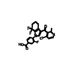 Cc1nccc(Cl)c1C(=O)c1cn(-c2ccc(C(=O)O)cc2F)c2c1CCCC2(F)F